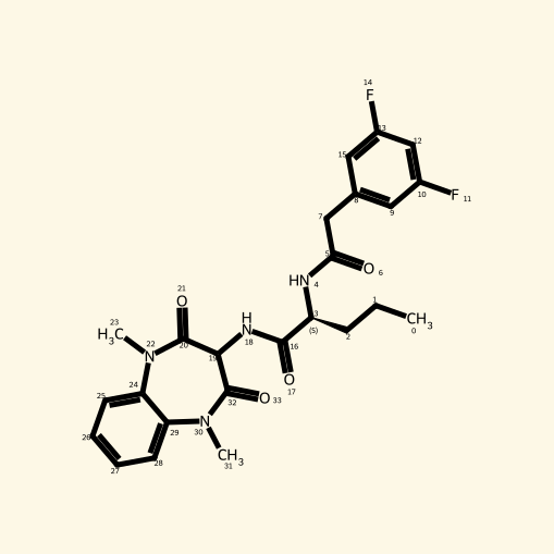 CCC[C@H](NC(=O)Cc1cc(F)cc(F)c1)C(=O)NC1C(=O)N(C)c2ccccc2N(C)C1=O